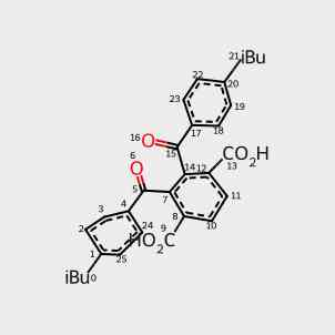 CCC(C)c1ccc(C(=O)c2c(C(=O)O)ccc(C(=O)O)c2C(=O)c2ccc(C(C)CC)cc2)cc1